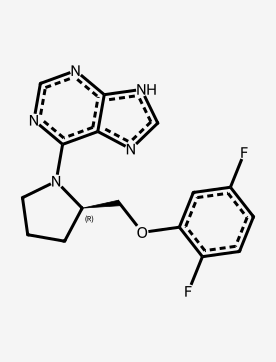 Fc1ccc(F)c(OC[C@H]2CCCN2c2ncnc3[nH]cnc23)c1